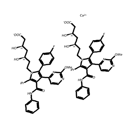 COc1nccc(-c2c(C(=O)Nc3ccccc3)c(C(C)C)n(CC[C@@H](O)C[C@@H](O)CC(=O)[O-])c2-c2ccc(F)cc2)n1.COc1nccc(-c2c(C(=O)Nc3ccccc3)c(C(C)C)n(CC[C@@H](O)C[C@@H](O)CC(=O)[O-])c2-c2ccc(F)cc2)n1.[Ca+2]